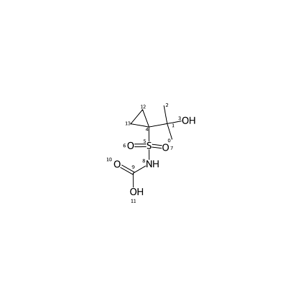 CC(C)(O)C1(S(=O)(=O)NC(=O)O)CC1